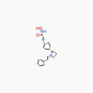 O=C(/C=C/c1ccc([C@@H]2CCCN2C=Cc2ccccc2)cc1)NO